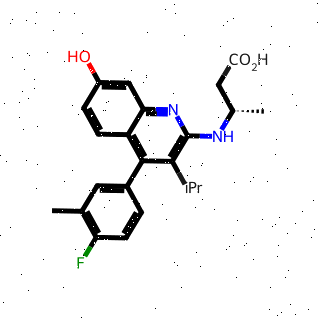 Cc1cc(-c2c(C(C)C)c(N[C@@H](C)CC(=O)O)nc3cc(O)ccc23)ccc1F